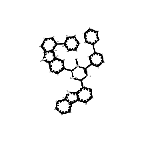 CN1C(c2cccc(-c3ccccc3)c2)=NC(c2cccc3c2oc2ccccc23)NC1c1ccc2sc3cccc(-c4ccccc4)c3c2c1